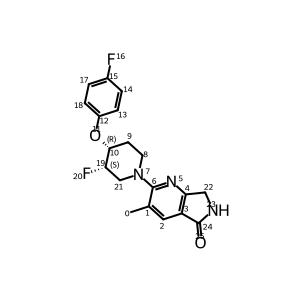 Cc1cc2c(nc1N1CC[C@@H](Oc3ccc(F)cc3)[C@@H](F)C1)CNC2=O